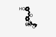 O=C(/C=C/c1cccc(O)c1)c1cccc(-n2cc(-c3ccco3)[nH]c2=O)c1